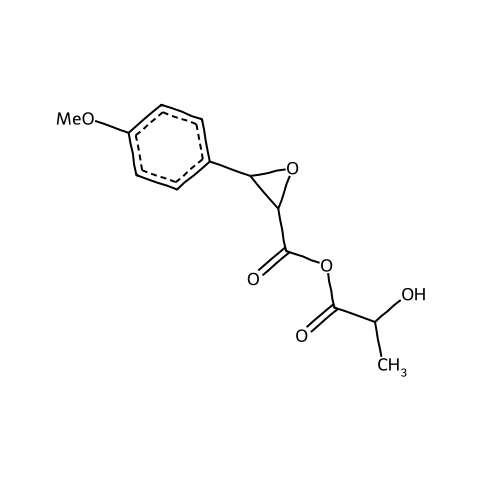 COc1ccc(C2OC2C(=O)OC(=O)C(C)O)cc1